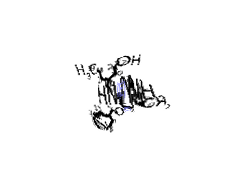 C=N/C=C(OCc1ccncc1)\C(=N/N)NC(CCC)CCO